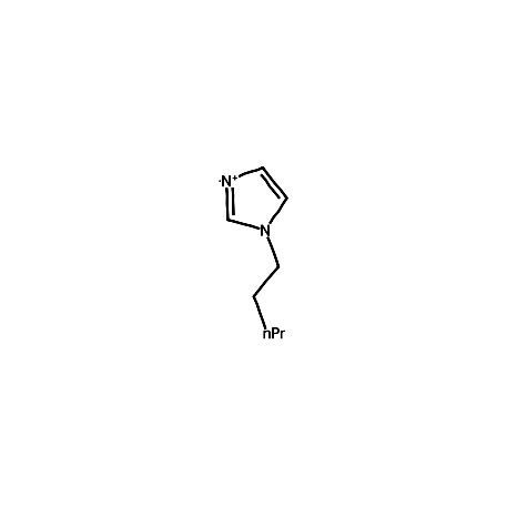 CCCCCN1C=C[N+]=C1